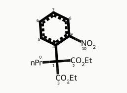 CCCC(C(=O)OCC)(C(=O)OCC)c1ccccc1[N+](=O)[O-]